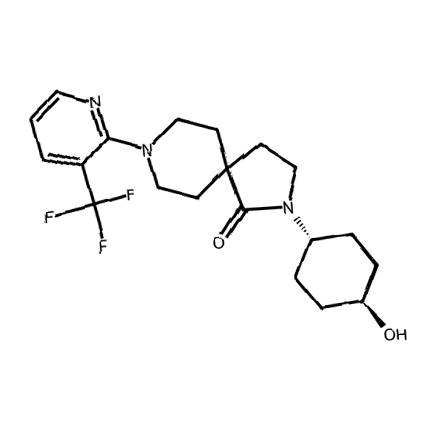 O=C1N([C@H]2CC[C@H](O)CC2)CCC12CCN(c1ncccc1C(F)(F)F)CC2